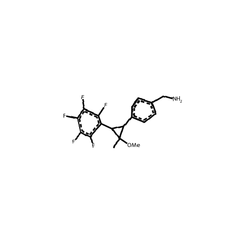 COC1(C)C(c2ccc(CN)cc2)C1c1c(F)c(F)c(F)c(F)c1F